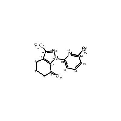 O=C1CCCc2c(C(F)(F)F)nn(-c3cccc(Br)n3)c21